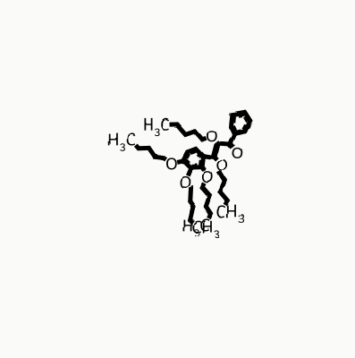 CCCCCOC(C(=O)c1ccccc1)=C(OCCCCC)c1ccc(OCCCCC)c(OCCCCC)c1OCCCCC